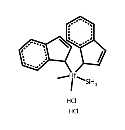 Cl.Cl.[CH3][Hf]([CH3])([SiH3])([CH]1C=Cc2ccccc21)[CH]1C=Cc2ccccc21